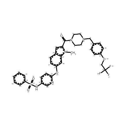 Cn1c(C(=O)N2CCN(Cc3ccc(OCC(F)(F)F)cc3)CC2)cc2ccc(Oc3ccc(NS(=O)(=O)c4ccccc4)cn3)cc21